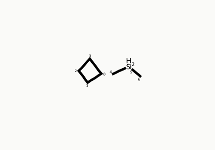 C1CCC1.C[SiH2]C